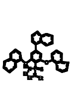 CCN(CC)P(=S)(c1c(Oc2cccc3ccccc23)cc(-c2cccc3ccccc23)cc1Oc1cccc2ccccc12)N(CC)CC